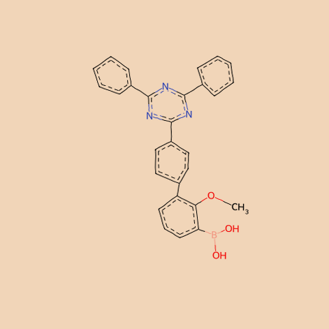 COc1c(B(O)O)cccc1-c1ccc(-c2nc(-c3ccccc3)nc(-c3ccccc3)n2)cc1